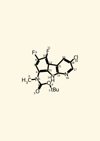 CN(C(=O)OC(C)(C)C)c1cc(F)c(F)c2c1[nH]c1ncc(Cl)cc12